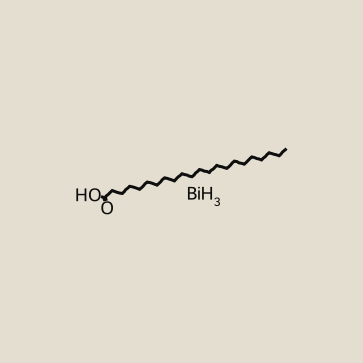 CCCCCCCCCCCCCCCCCCCCCC(=O)O.[BiH3]